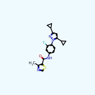 Cc1ncsc1C(=O)Nc1ccc(-n2nc(C3CC3)cc2C2CC2)c(F)c1